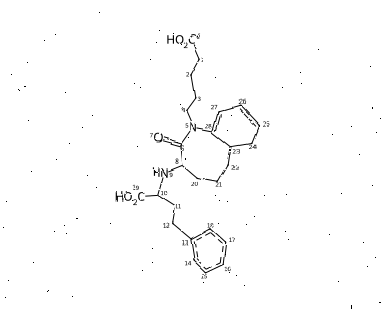 O=C(O)CCCCN1C(=O)C(NC(CCc2ccccc2)C(=O)O)CCCC2CC=CC=C21